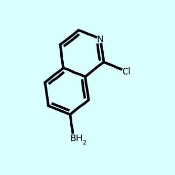 Bc1ccc2ccnc(Cl)c2c1